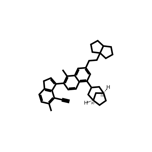 C#Cc1c(C)ccc2c1C(c1ccc3c(C4C[C@H]5CC[C@@H](C4)C5)cc(CCC45CCCC4CCC5)cc3c1C)=CC2